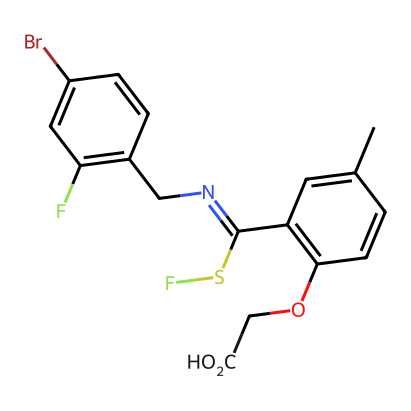 Cc1ccc(OCC(=O)O)c(C(=NCc2ccc(Br)cc2F)SF)c1